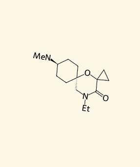 CCN1C[C@]2(CC[C@H](NC)CC2)OC2(CC2)C1=O